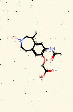 BN1CCc2cc(OCC(=O)O)c(NC(C)=O)cc2C(C)C1